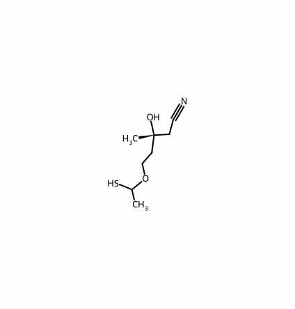 CC(S)OCC[C@](C)(O)CC#N